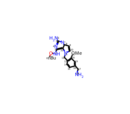 CCCCONc1nc(N)nc2ccn(Cc3ccc(CN)cc3OC)c12